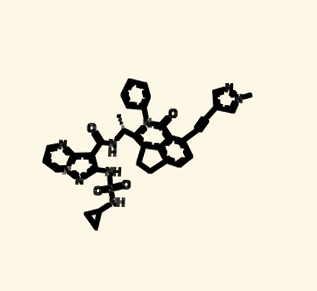 C[C@@H](NC(=O)c1c(NS(=O)(=O)NC2CC2)nn2cccnc12)c1c2c3c(ccc(C#Cc4cnn(C)c4)c3c(=O)n1-c1ccccc1)CC2